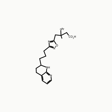 CCCC(C)(CC(=O)O)Cc1nc(CCCC2CCc3cccnc3N2)no1